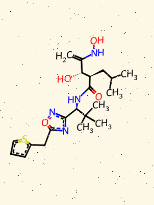 C=C(NO)[C@@H](O)[C@@H](CC(C)C)C(=O)N[C@H](c1noc(Cc2cccs2)n1)C(C)(C)C